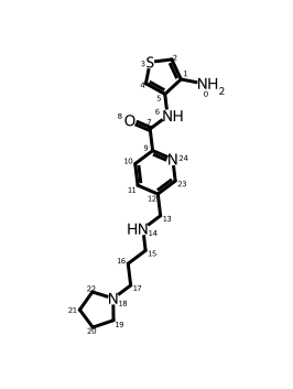 Nc1cscc1NC(=O)c1ccc(CNCCCN2CCCC2)cn1